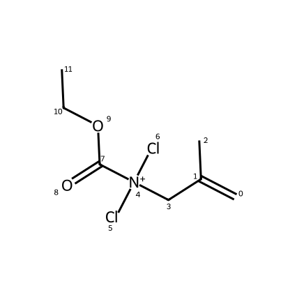 C=C(C)C[N+](Cl)(Cl)C(=O)OCC